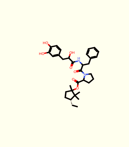 CC[C@@H]1CCC(C)(OC(=O)C2CCCN2C(=O)C(Cc2ccccc2)NC(=O)C(O)Cc2ccc(O)c(O)c2)C1(C)C